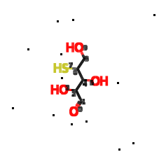 O=CC(O)C(O)C(S)CO